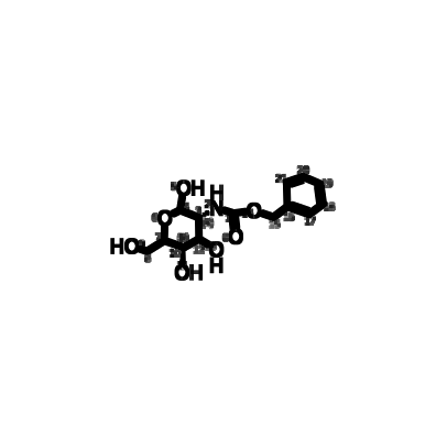 O=C(N[C@H]1C(O)OC(CO)[C@H](O)C1O)OCc1ccccc1